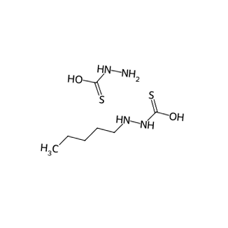 CCCCCNNC(O)=S.NNC(O)=S